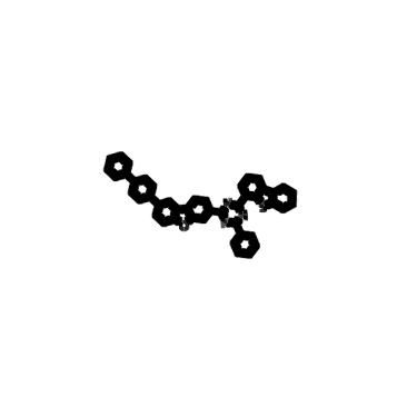 c1ccc(-c2ccc(-c3ccc4oc5cc(-c6nc(-c7ccccc7)nc(-c7cccc8c7sc7ccccc78)n6)ccc5c4c3)cc2)cc1